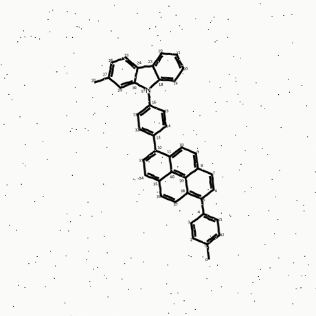 Cc1ccc(-c2ccc3ccc4c(-c5ccc(-n6c7ccccc7c7ccc(C)cc76)cc5)ccc5ccc2c3c54)cc1